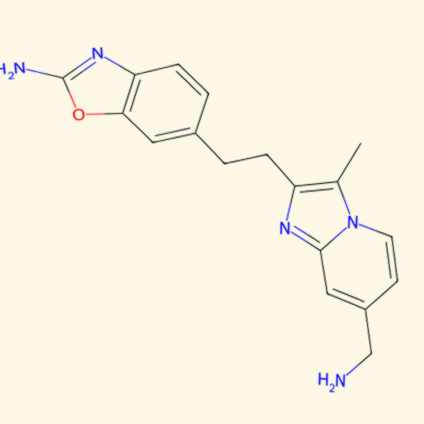 Cc1c(CCc2ccc3nc(N)oc3c2)nc2cc(CN)ccn12